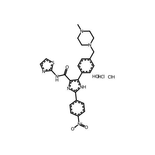 CN1CCN(Cc2ccc(-c3[nH]c(-c4ccc([N+](=O)[O-])cc4)nc3C(=O)Nc3nccs3)cc2)CC1.Cl.Cl.Cl